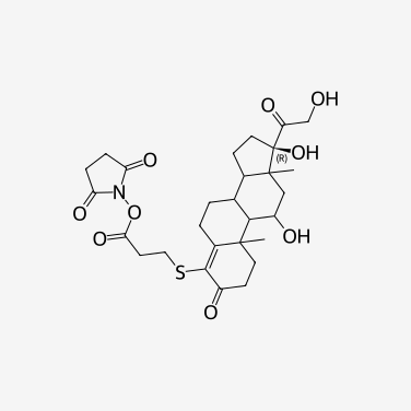 CC12CCC(=O)C(SCCC(=O)ON3C(=O)CCC3=O)=C1CCC1C2C(O)CC2(C)C1CC[C@]2(O)C(=O)CO